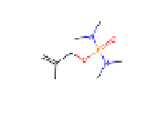 C=C(C)COP(=O)(N(C)C)N(C)C